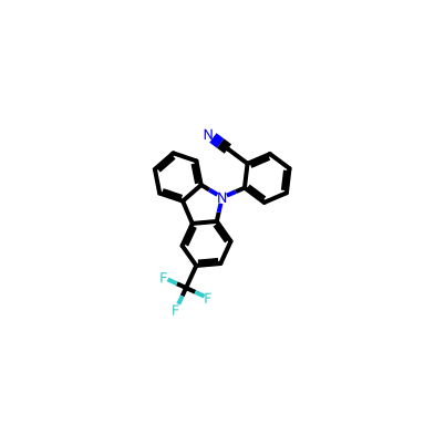 N#Cc1ccccc1-n1c2ccccc2c2cc(C(F)(F)F)ccc21